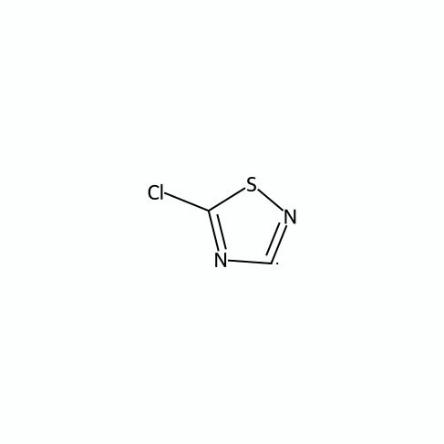 Clc1n[c]ns1